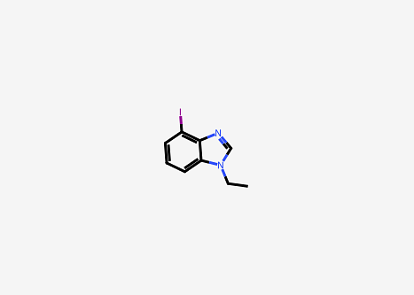 CCn1cnc2c(I)cccc21